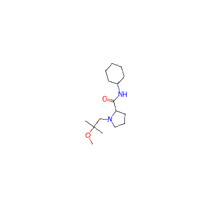 COC(C)(C)CN1CCCC1C(=O)NC1CCCCC1